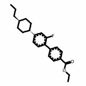 CCC[C@H]1CC[C@H](c2ccc(-c3ccc(C(=O)OCC)cc3)c(F)c2)CC1